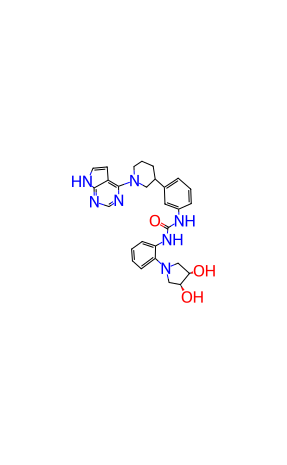 O=C(Nc1cccc(C2CCCN(c3ncnc4[nH]ccc34)C2)c1)Nc1ccccc1N1C[C@@H](O)[C@@H](O)C1